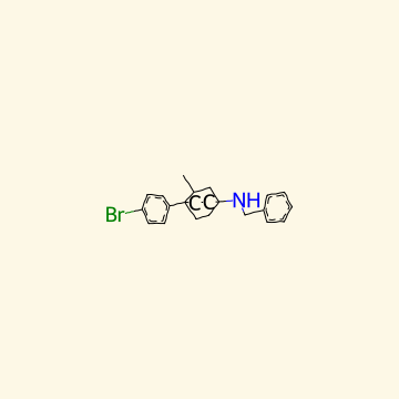 CC1CC2(NCc3ccccc3)CCC1(c1ccc(Br)cc1)CC2